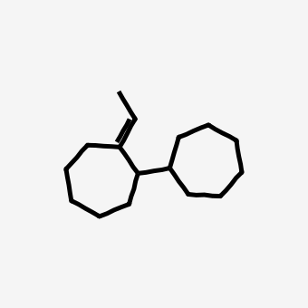 CC=C1CCCCCC1C1CCCCCC1